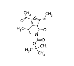 CSc1sc(C(C)=O)c2c1C(=O)N(C(=O)OC(C)(C)C)CC2C